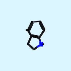 [c]1cccc2c1CC[N]2